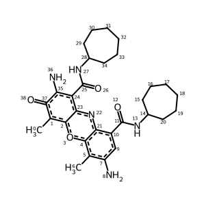 Cc1c2oc3c(C)c(N)cc(C(=O)NC4CCCCCC4)c3nc-2c(C(=O)NC2CCCCCC2)c(N)c1=O